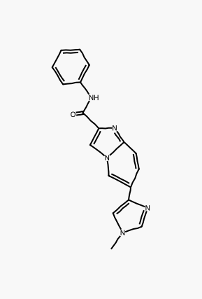 Cn1cnc(-c2ccc3nc(C(=O)Nc4ccccc4)cn3c2)c1